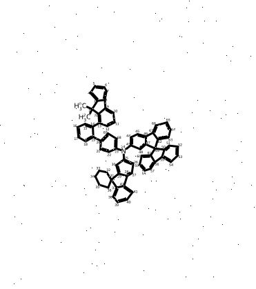 CC1(C)c2ccccc2-c2cccc(-c3ccccc3-c3ccc(N(c4ccc5c(c4)C4(CCCCC4)c4ccccc4-5)c4ccc5c(c4)C4(c6ccccc6-c6ccccc64)c4ccccc4-5)cc3)c21